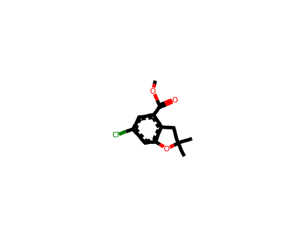 COC(=O)c1cc(Cl)cc2c1CC(C)(C)O2